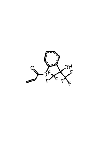 C=CC(=O)Oc1ccccc1C(O)(C(F)(F)F)C(F)(F)F